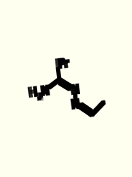 C/C=N\N=C(/N)C(C)C